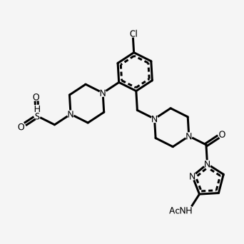 CC(=O)Nc1ccn(C(=O)N2CCN(Cc3ccc(Cl)cc3N3CCN(C[SH](=O)=O)CC3)CC2)n1